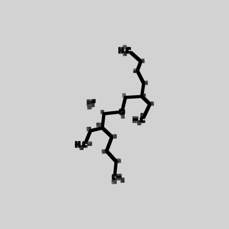 CCCCC(CC)COCC(CC)CCCC.[Hf]